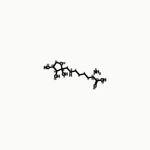 N[C@@H](CCCCNCC1(O)OCC(O)C1O)C(=O)O